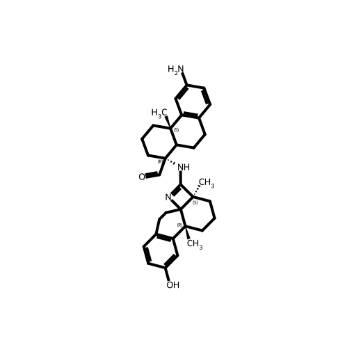 C[C@]12CCC[C@@](C=O)(NC3=NC45CCc6ccc(O)cc6[C@@]4(C)CCC[C@]35C)C1CCc1ccc(N)cc12